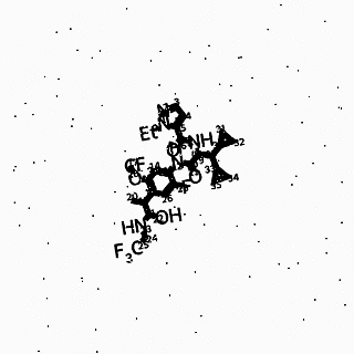 CCn1nccc1C(=O)N[C@H](C(=O)Nc1cc(OC(F)(F)F)c(C(C)C(O)NCC(F)(F)F)cc1F)C(C1CC1)C1CC1